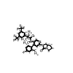 Cc1cc(F)ccc1-c1cc(N2CC3CCCN3C2=O)ncc1N(C)C(=O)C(C)(C)c1cc(C(F)(F)F)cc(C(F)(F)F)c1